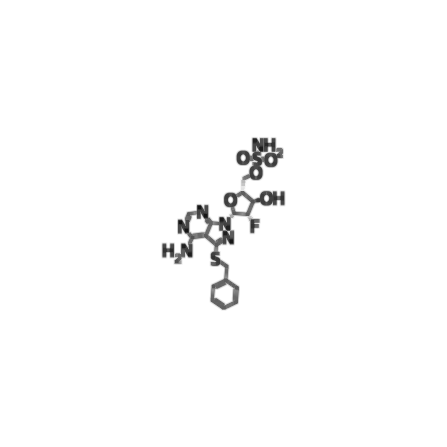 Nc1ncnc2c1c(SCc1ccccc1)nn2[C@@H]1O[C@H](COS(N)(=O)=O)[C@@H](O)[C@@H]1F